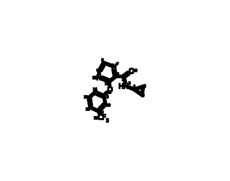 O=C(NC1CC1)c1nccnc1Oc1cccc(C(F)(F)F)c1